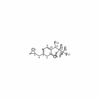 O=C1CC(CC2CO2)=CC=C1C(F)C(F)(F)C(F)(F)F